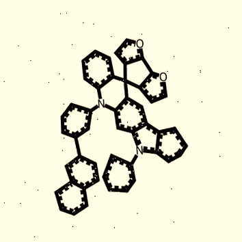 c1ccc(-n2c3ccccc3c3cc4c(cc32)N(c2cccc(-c3ccc5ccccc5c3)c2)c2ccccc2C42c3ccoc3-c3occc32)cc1